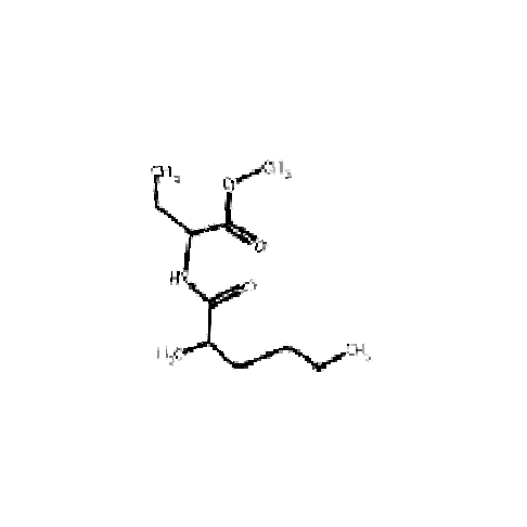 CCCCC(C)C(=O)NC(CC)C(=O)OC